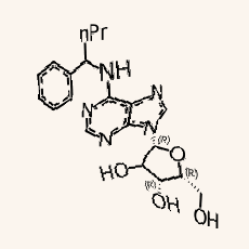 CCCC(Nc1ncnc2c1ncn2[C@@H]1O[C@H](CO)[C@H](O)C1O)c1ccccc1